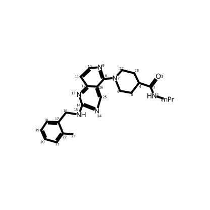 CCCNC(=O)C1CCN(c2nccc3nc(NCc4ccccc4C)ncc23)CC1